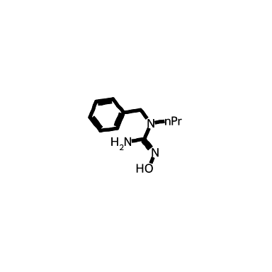 CCCN(Cc1ccccc1)/C(N)=N/O